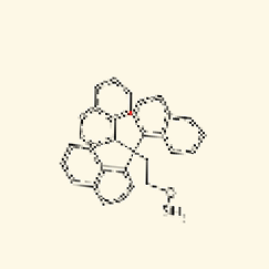 [SiH3]OCCC(c1cccc2ccccc12)(c1cccc2ccccc12)c1cccc2ccccc12